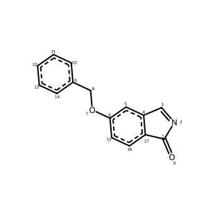 O=C1N=Cc2cc(OCc3ccccc3)ccc21